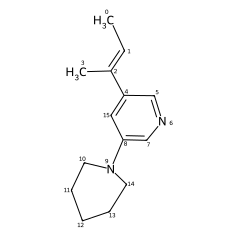 C/C=C(\C)c1cncc(N2CCCCC2)c1